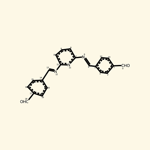 O=Cc1ccc(/C=N/c2cccc(/N=C/c3ccc(C=O)cc3)n2)cc1